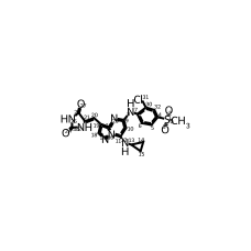 CS(=O)(=O)c1ccc(Nc2cc(NC3CC3)n3ncc(/C=C4\NC(=O)NC4=O)c3n2)c(Cl)c1